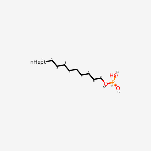 CCCCCCCCCCCCCCCCO[PH](=O)O